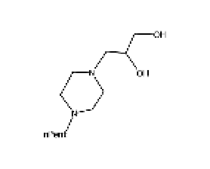 CCCCCN1CCN(CC(O)CO)CC1